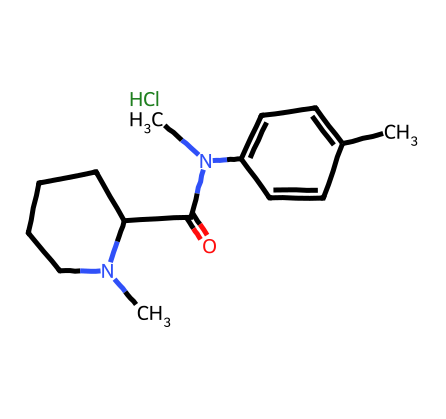 Cc1ccc(N(C)C(=O)C2CCCCN2C)cc1.Cl